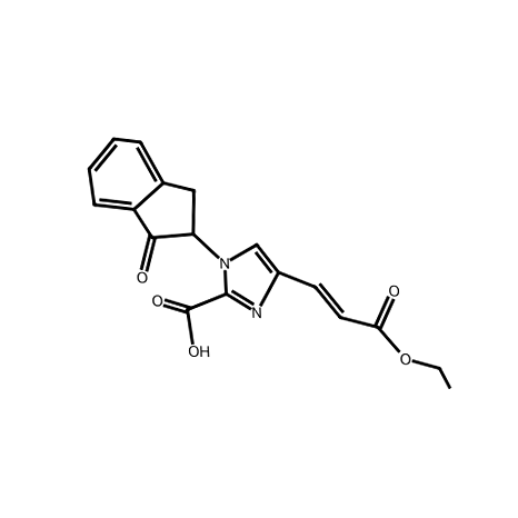 CCOC(=O)C=Cc1cn(C2Cc3ccccc3C2=O)c(C(=O)O)n1